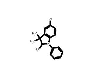 CC1N(c2ccccc2)c2ccc(Cl)cc2C1(C)C